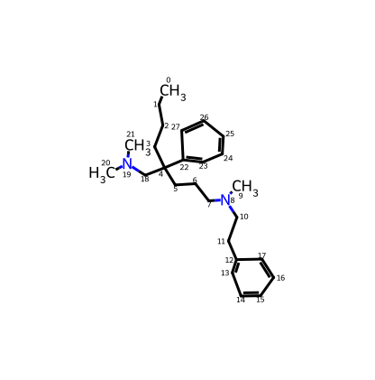 CCCCC(CCCN(C)CCc1ccccc1)(CN(C)C)c1ccccc1